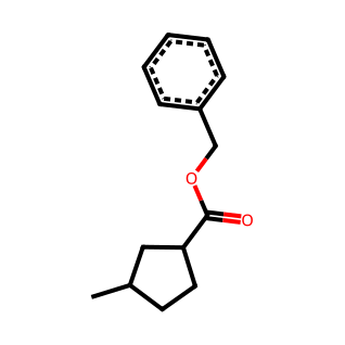 CC1CCC(C(=O)OCc2ccccc2)C1